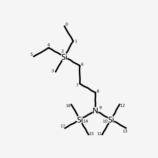 CC[Si](C)(CC)CCCN([Si](C)(C)C)[Si](C)(C)C